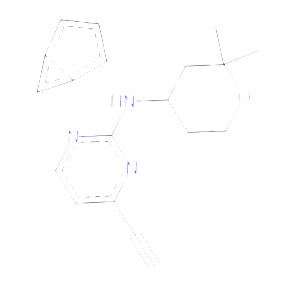 C#Cc1ccnc(NC2CCOC(C)(C)C2)n1.c1cc2cc-2c1